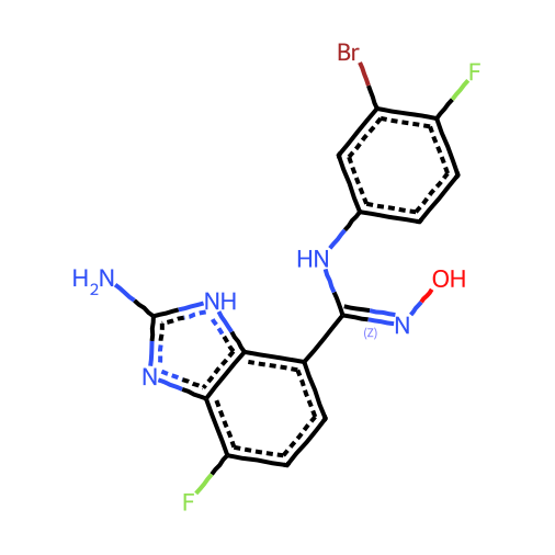 Nc1nc2c(F)ccc(/C(=N/O)Nc3ccc(F)c(Br)c3)c2[nH]1